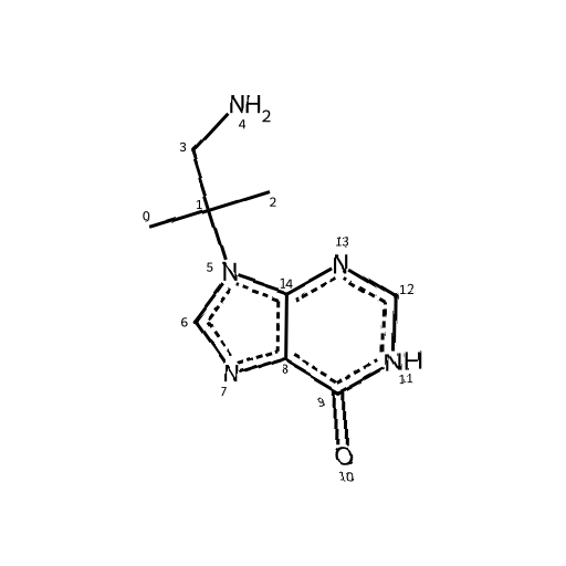 CC(C)(CN)n1cnc2c(=O)[nH]cnc21